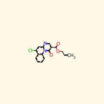 C=CCOC(=O)c1cnc2cc(Cl)c3ccccc3n2c1=O